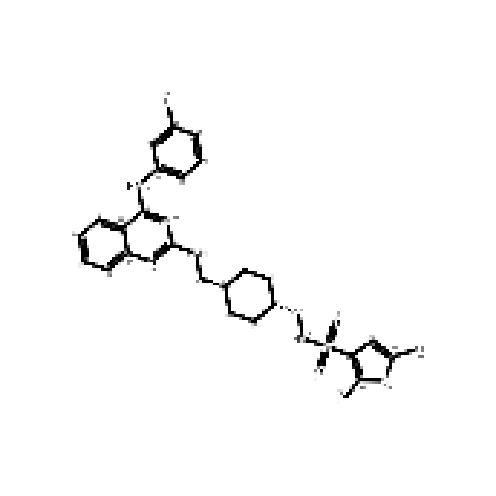 O=S(=O)(NC[C@H]1CC[C@H](CNc2nc(Nc3cccc(F)c3)c3ccccc3n2)CC1)c1cc(Cl)sc1Cl